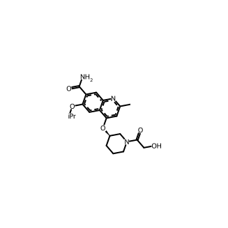 Cc1cc(O[C@@H]2CCCN(C(=O)CO)C2)c2cc(OC(C)C)c(C(N)=O)cc2n1